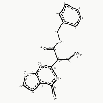 NC[C@H](C(=O)OCc1ccccc1)c1nc(=O)c2ccsc2o1